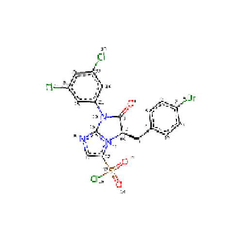 O=C1[C@@H](Cc2ccc(Br)cc2)n2c(S(=O)(=O)Cl)cnc2N1c1cc(Cl)cc(Cl)c1